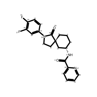 O=C(N[C@H]1CCC[C@]2(CCN(c3ccc(F)c(F)c3)C2=O)C1)c1ccccn1